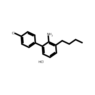 CCCCc1cccc(-c2ccc(Cl)cc2)c1N.Cl